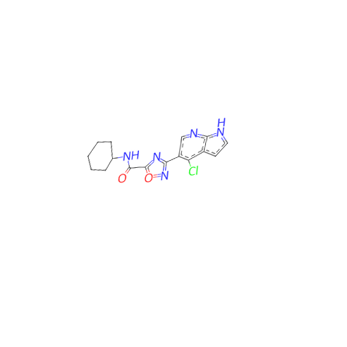 O=C(NC1CCCCC1)c1nc(-c2cnc3[nH]ccc3c2Cl)no1